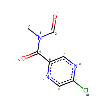 CN(C=O)C(=O)c1cnc(Cl)cn1